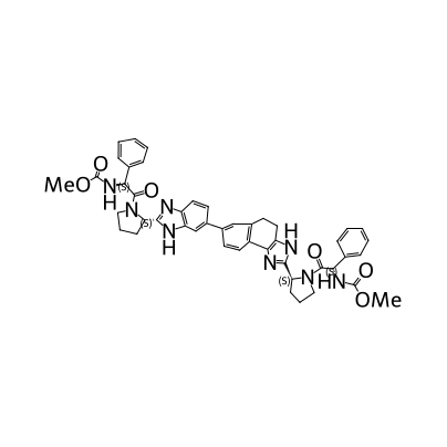 COC(=O)N[C@H](C(=O)N1CCC[C@H]1c1nc2c([nH]1)CCc1cc(-c3ccc4nc([C@@H]5CCCN5C(=O)[C@@H](NC(=O)OC)c5ccccc5)[nH]c4c3)ccc1-2)c1ccccc1